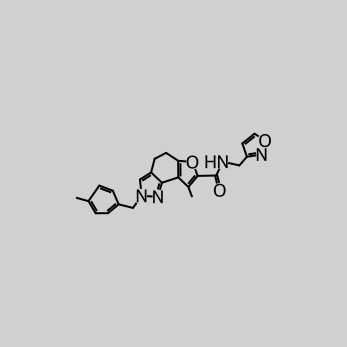 Cc1ccc(Cn2cc3c(n2)-c2c(oc(C(=O)NCc4ccon4)c2C)CC3)cc1